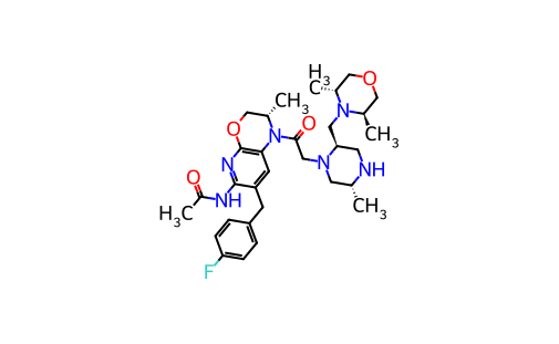 CC(=O)Nc1nc2c(cc1Cc1ccc(F)cc1)N(C(=O)CN1C[C@@H](C)NC[C@@H]1CN1[C@H](C)COC[C@H]1C)[C@@H](C)CO2